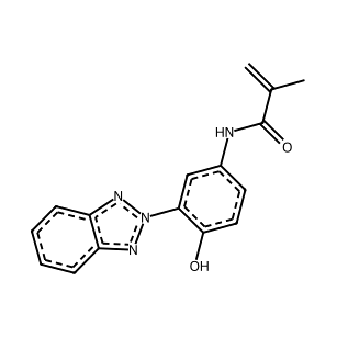 C=C(C)C(=O)Nc1ccc(O)c(-n2nc3ccccc3n2)c1